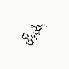 CC(c1nccnc1-c1ncccn1)N(C)c1nc2cc(C(F)(F)F)cc(Cl)c2o1